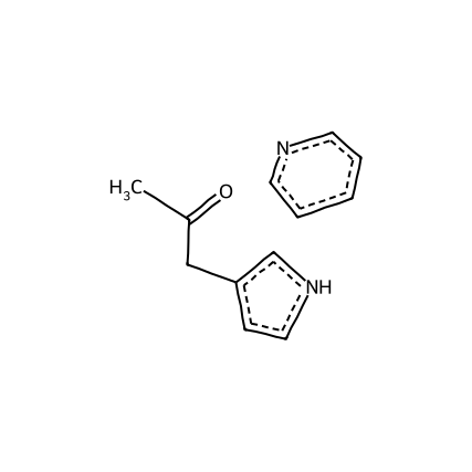 CC(=O)Cc1cc[nH]c1.c1ccncc1